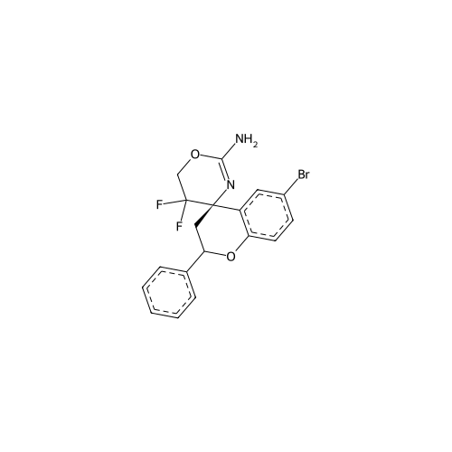 NC1=N[C@@]2(CC(c3ccccc3)Oc3ccc(Br)cc32)C(F)(F)CO1